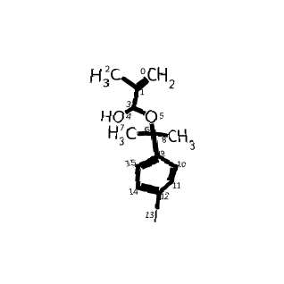 C=C(C)C(O)OC(C)(C)c1ccc(I)cc1